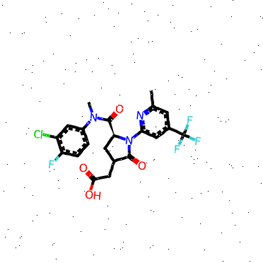 Cc1cc(C(F)(F)F)cc(N2C(=O)C(CC(=O)O)C[C@H]2C(=O)N(C)c2ccc(F)c(Cl)c2)n1